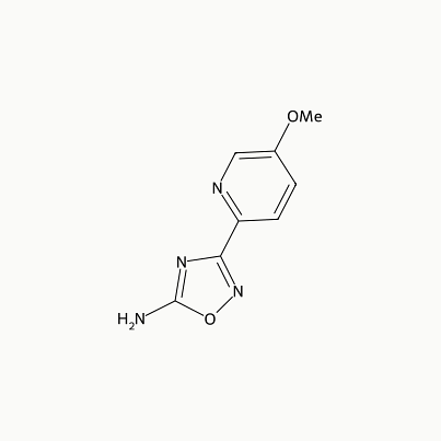 COc1ccc(-c2noc(N)n2)nc1